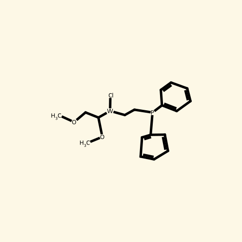 COC[CH](OC)[W]([Cl])[CH2]CP(c1ccccc1)c1ccccc1